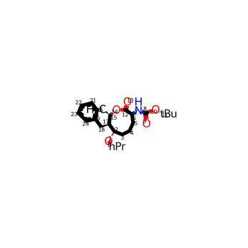 CCCO[C@H]1CCCC(NC(=O)OC(C)(C)C)C(=O)O[C@@H](C)[C@@H]1Cc1ccccc1